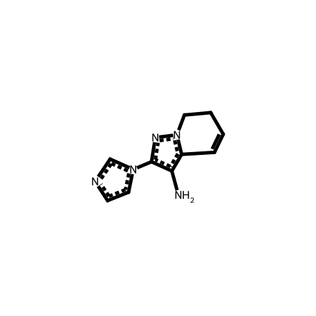 Nc1c(-n2ccnc2)nn2c1C=CCC2